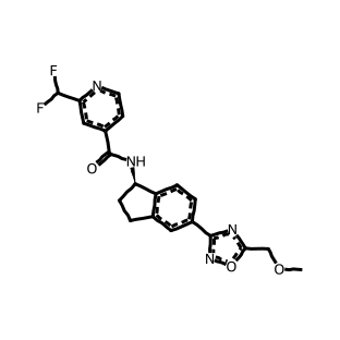 COCc1nc(-c2ccc3c(c2)CC[C@H]3NC(=O)c2ccnc(C(F)F)c2)no1